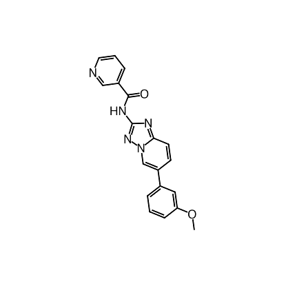 COc1cccc(-c2ccc3nc(NC(=O)c4cccnc4)nn3c2)c1